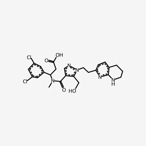 CN(C(=O)c1cnn(CCc2ccc3c(n2)NCCC3)c1CO)C(CC(=O)O)c1cc(Cl)cc(Cl)c1